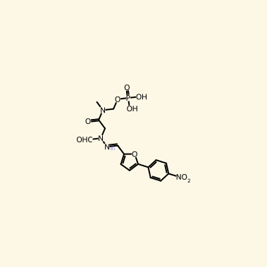 CN(COP(=O)(O)O)C(=O)CN(C=O)/N=C/c1ccc(-c2ccc([N+](=O)[O-])cc2)o1